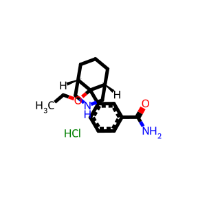 CCOC1(c2cccc(C(N)=O)c2)[C@@H]2CCC[C@H]1CNC2.Cl